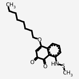 CCCCCCCCOC1=CC(=O)C(=O)c2c(NSC)cccc21